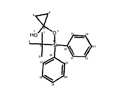 CC(C)(C)[Si](OC1(O)CC1)(c1ccccc1)c1ccccc1